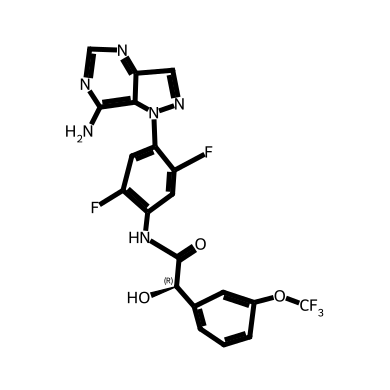 Nc1ncnc2cnn(-c3cc(F)c(NC(=O)[C@H](O)c4cccc(OC(F)(F)F)c4)cc3F)c12